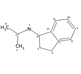 CC(C)[N]C1CCc2ccccc21